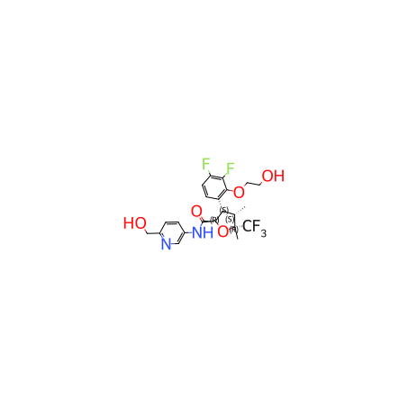 C[C@H]1[C@@H](c2ccc(F)c(F)c2OCCO)[C@H](C(=O)Nc2ccc(CO)nc2)O[C@@]1(C)C(F)(F)F